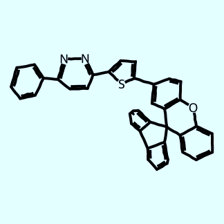 c1ccc(-c2ccc(-c3ccc(-c4ccc5c(c4)C4(c6ccccc6O5)c5ccccc5-c5ccccc54)s3)nn2)cc1